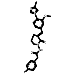 COc1cc(C=C2CCCN(NC(=O)Cc3ccc(F)cc3)C2=O)ccc1-n1cnc(C)c1